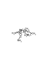 CC[C@@H](OCCCN)C1[C@@H]2CC[C@H]([C@H](C)CCCOCC=C(C)C)[C@@]2(C)[C@@H](OCCCN)C[C@@H]1[C@]1(C)CC[C@H](OCCCN)CC1